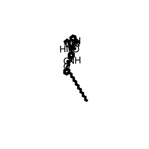 CCCCCCCCCCCCCCCc1cccc(OCC(=O)Nc2ccc(-n3[nH]c(N4CCCC4)c(-n4nnc5ccccc54)c3=O)cc2)c1